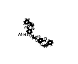 COc1cc2c(cc1OCCCOc1cc3c(cc1OC)C(=O)N1c4ccccc4C[C@H]1C=N3)N=C[C@@H]1Cc3ccccc3N1C2=O